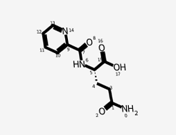 NC(=O)CC[C@H](NC(=O)c1ccccn1)C(=O)O